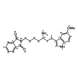 COc1ccc2[nH]cc(SCC(N)CCCCN3C(=O)c4ccccc4C3=O)c2c1